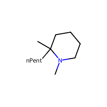 CCCCCC1(C)CCCCN1C